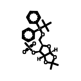 CC1(C)O[C@@H]2O[C@H](CO[Si](c3ccccc3)(c3ccccc3)C(C)(C)C)[C@H](OS(C)(=O)=O)[C@H]2O1